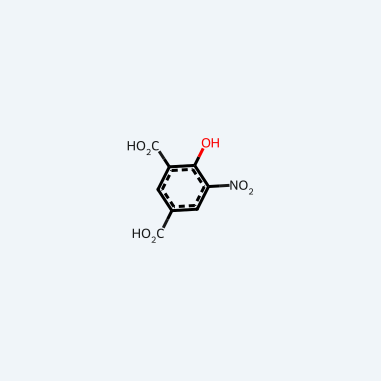 O=C(O)c1cc(C(=O)O)c(O)c([N+](=O)[O-])c1